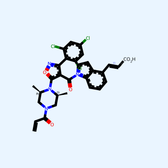 C=CC(=O)N1C[C@@H](C)N(c2onc(-c3c(Cl)cc(Cl)cc3Cl)c2C(=O)n2ccc3c(/C=C/C(=O)O)cccc32)[C@@H](C)C1